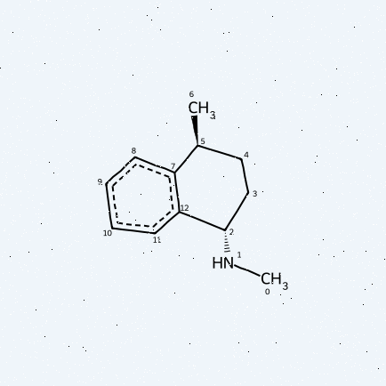 CN[C@H]1CC[C@H](C)c2ccccc21